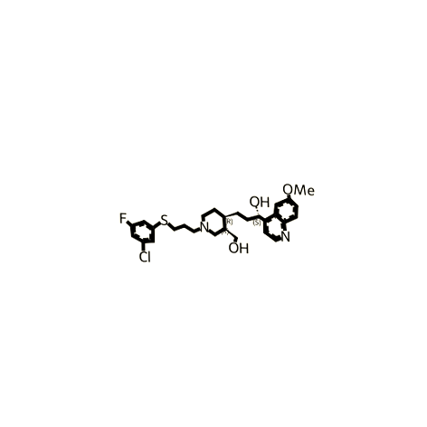 COc1ccc2nccc([C@@H](O)CC[C@@H]3CCN(CCCSc4cc(F)cc(Cl)c4)C[C@@H]3CO)c2c1